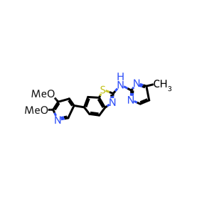 COc1cc(-c2ccc3nc(Nc4nccc(C)n4)sc3c2)cnc1OC